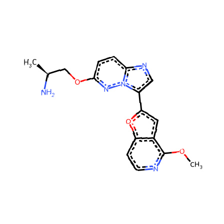 COc1nccc2oc(-c3cnc4ccc(OC[C@H](C)N)nn34)cc12